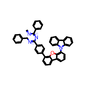 C=N/C(=N\C(=N/Cc1ccccc1)c1ccc(-c2cccc3c2oc2c(-n4c5ccccc5c5ccccc54)cccc23)cc1)c1ccccc1